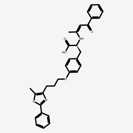 CC(=CC(=O)c1ccccc1)N[C@@H](Cc1ccc(OCCCc2nc(-c3ccccc3)oc2C)cc1)C(=O)O